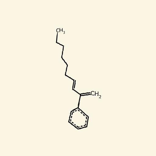 C=C(C=CCCCCCC)c1ccccc1